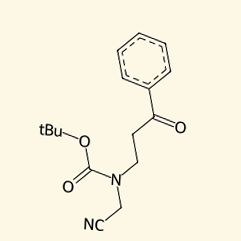 CC(C)(C)OC(=O)N(CC#N)CCC(=O)c1ccccc1